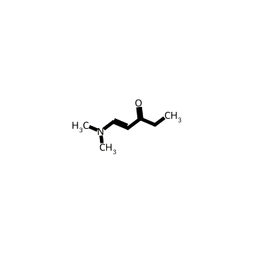 CCC(=O)/C=C/N(C)C